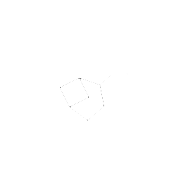 CC1CCC2CC1C2